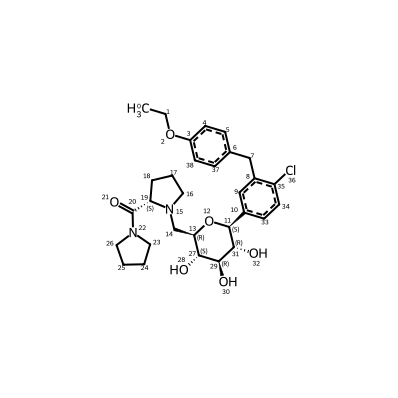 CCOc1ccc(Cc2cc([C@@H]3O[C@H](CN4CCC[C@H]4C(=O)N4CCCC4)[C@@H](O)[C@H](O)[C@H]3O)ccc2Cl)cc1